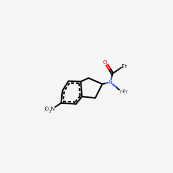 CCCN(C(=O)CC)C1Cc2ccc([N+](=O)[O-])cc2C1